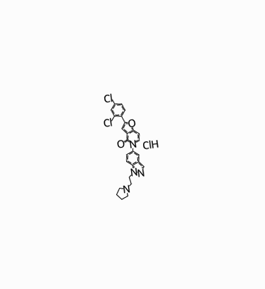 Cl.O=c1c2cc(-c3ccc(Cl)cc3Cl)oc2ccn1-c1ccc2c(cnn2CCN2CCCC2)c1